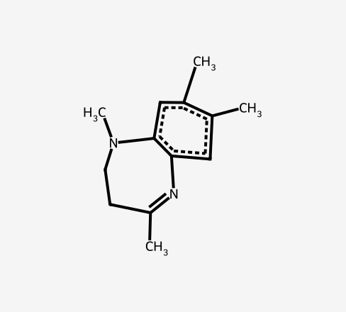 CC1=Nc2cc(C)c(C)cc2N(C)CC1